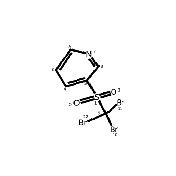 O=S(=O)(c1cccnc1)C(Br)(Br)Br